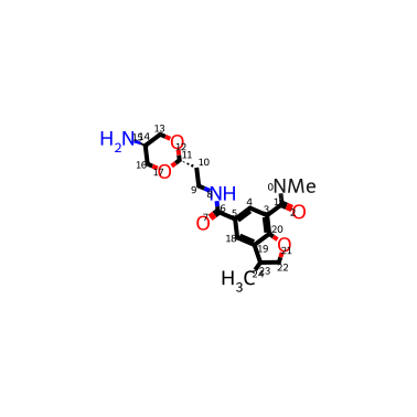 CNC(=O)c1cc(C(=O)NCC[C@H]2OC[C@H](N)CO2)cc2c1OCC2C